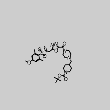 COc1cc(C)c(S(=O)(=O)N(C)Cc2nnc(C(=O)N3CCN(CC4CCN(C(=O)OC(C)(C)C)CC4)CC3)o2)c(C)c1